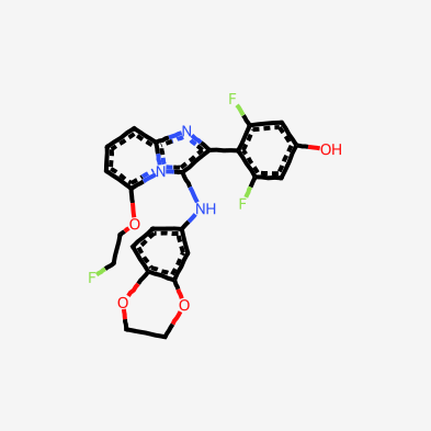 Oc1cc(F)c(-c2nc3cccc(OCCF)n3c2Nc2ccc3c(c2)OCCO3)c(F)c1